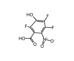 O=C(O)c1c(F)c(O)c(F)c(F)c1[N+](=O)[O-]